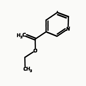 C=C(OCC)c1c[c]cnc1